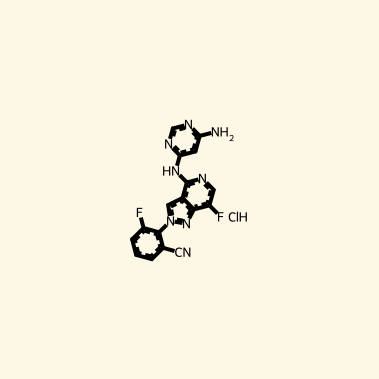 Cl.N#Cc1cccc(F)c1-n1cc2c(Nc3cc(N)ncn3)ncc(F)c2n1